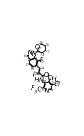 Cc1c(Cl)cnc(C(F)(F)F)c1NC(=O)/C(F)=C/c1ccc2cnn(C3CCCCO3)c2c1F